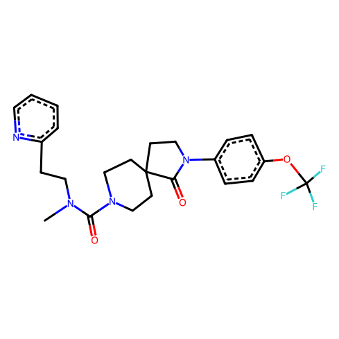 CN(CCc1ccccn1)C(=O)N1CCC2(CC1)CCN(c1ccc(OC(F)(F)F)cc1)C2=O